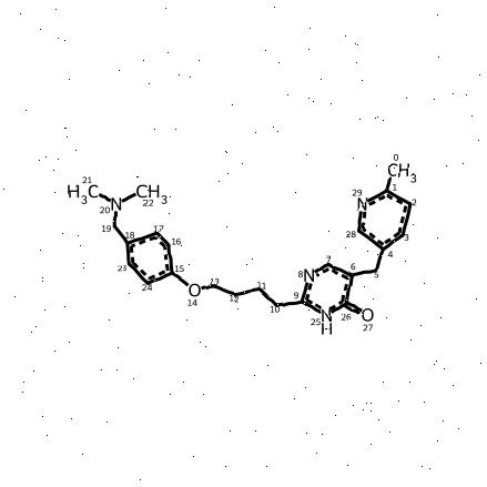 Cc1ccc(Cc2cnc(CCCCOc3ccc(CN(C)C)cc3)[nH]c2=O)cn1